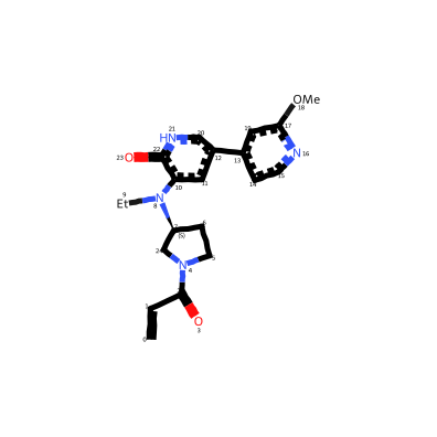 C=CC(=O)N1CC[C@H](N(CC)c2cc(-c3ccnc(OC)c3)c[nH]c2=O)C1